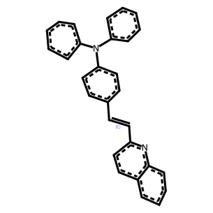 C(=C\c1ccc2ccccc2n1)/c1ccc(N(c2ccccc2)c2ccccc2)cc1